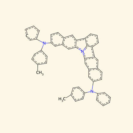 Cc1ccc(N(c2ccccc2)c2ccc3cc4c5cccc6c7cc8ccc(N(c9ccccc9)c9ccc(C)cc9)cc8cc7n(c4cc3c2)c56)cc1